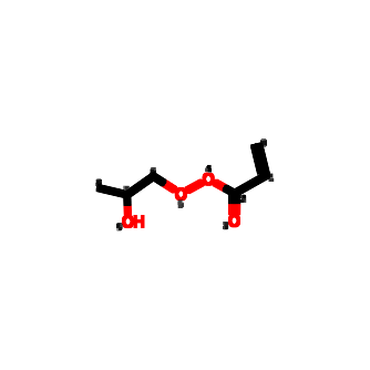 C=CC(=O)OOCC(C)O